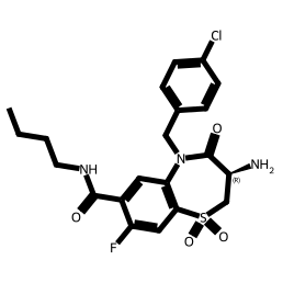 CCCCNC(=O)c1cc2c(cc1F)S(=O)(=O)C[C@H](N)C(=O)N2Cc1ccc(Cl)cc1